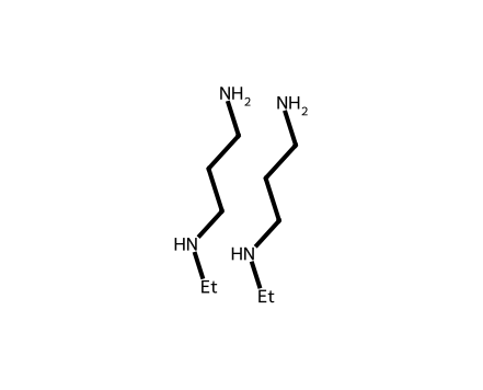 CCNCCCN.CCNCCCN